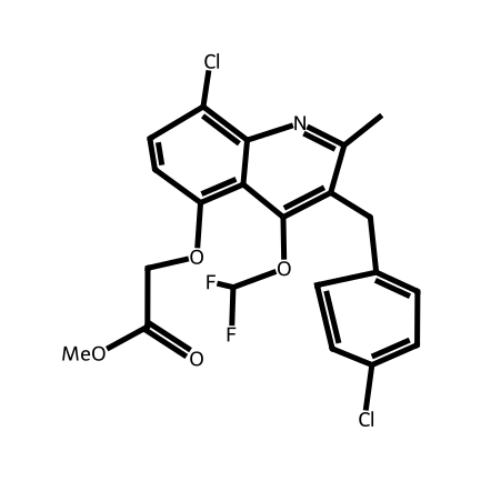 COC(=O)COc1ccc(Cl)c2nc(C)c(Cc3ccc(Cl)cc3)c(OC(F)F)c12